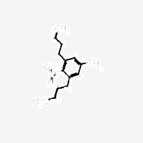 CCCCc1cc(C)cc(CCCC)c1[N+](=O)[O-]